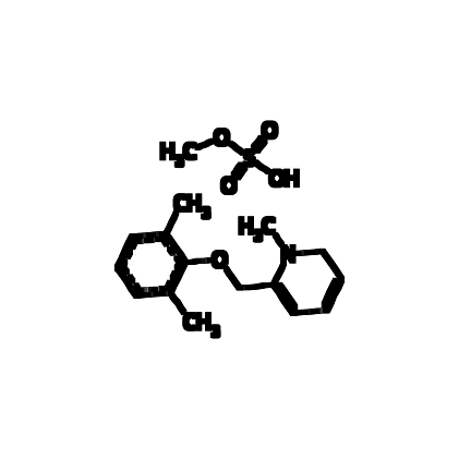 COS(=O)(=O)O.Cc1cccc(C)c1OCC1=CC=CCN1C